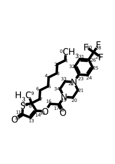 CCCCCCCCC1(C)SC(=O)C=C1OCC(=O)N1CCN(c2ccc(C(F)(F)F)cc2)CC1